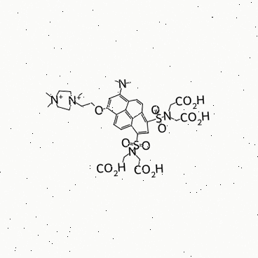 CN(C)c1cc(OCC[N+]2(C)CC[N+](C)(C)CC2)c2ccc3c(S(=O)(=O)N(CC(=O)O)CC(=O)O)cc(S(=O)(=O)N(CC(=O)O)CC(=O)O)c4ccc1c2c34